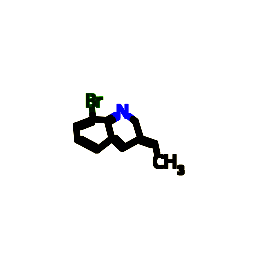 C/C=C1\C=c2cccc(Br)c2=NC1